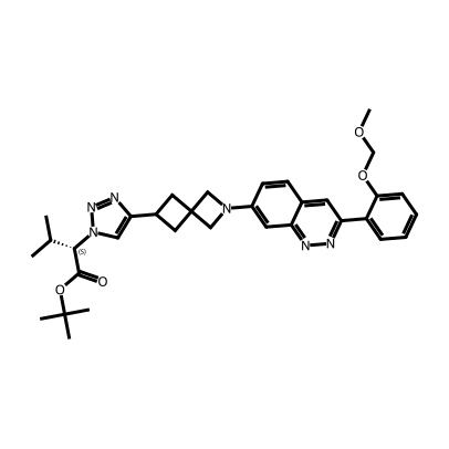 COCOc1ccccc1-c1cc2ccc(N3CC4(CC(c5cn([C@H](C(=O)OC(C)(C)C)C(C)C)nn5)C4)C3)cc2nn1